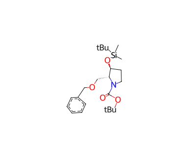 CC(C)(C)OC(=O)N1CC[C@H](O[Si](C)(C)C(C)(C)C)[C@H]1COCc1ccccc1